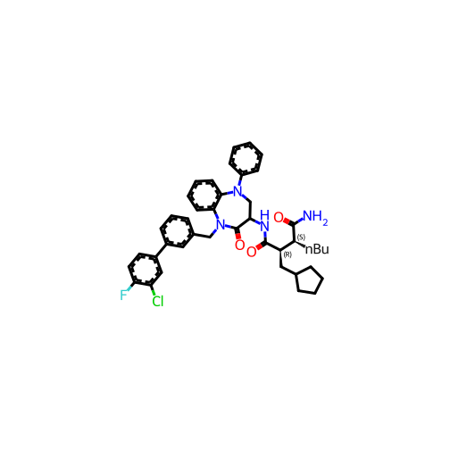 CCCC[C@H](C(N)=O)[C@@H](CC1CCCC1)C(=O)NC1CN(c2ccccc2)c2ccccc2N(Cc2cccc(-c3ccc(F)c(Cl)c3)c2)C1=O